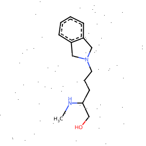 CNC(CO)CCCN1Cc2ccccc2C1